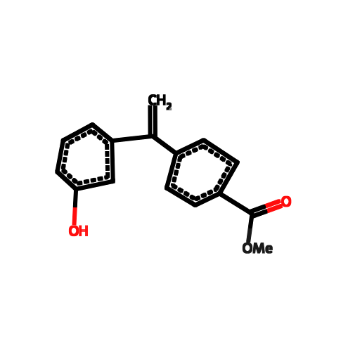 C=C(c1ccc(C(=O)OC)cc1)c1cccc(O)c1